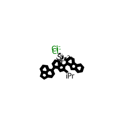 CC(C)CC1=Cc2c(-c3ccc4c5c(cccc35)CC4)cccc2C1c1[c]([Zr+2][SiH](C)C)ccc2c1Cc1ccccc1-2.[Cl-].[Cl-]